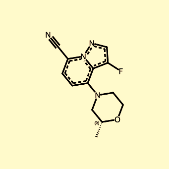 C[C@@H]1CN(c2ccc(C#N)n3ncc(F)c23)CCO1